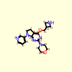 c1cncc(N2CCc3c(OCC4CNC4)nc(N4CCOCC4)nc32)c1